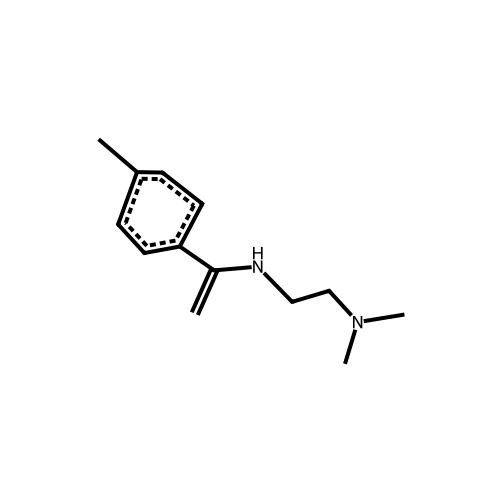 C=C(NCCN(C)C)c1ccc(C)cc1